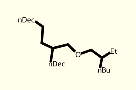 CCCCCCCCCCCCC(CCCCCCCCCC)COCC(CC)CCCC